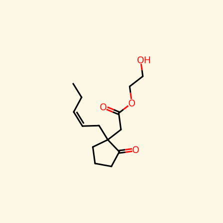 CC/C=C\CC1(CC(=O)OCCO)CCCC1=O